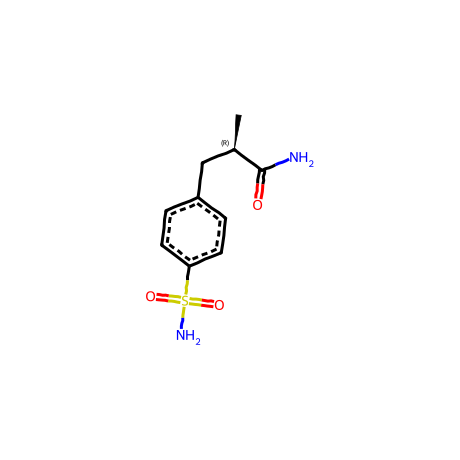 C[C@H](Cc1ccc(S(N)(=O)=O)cc1)C(N)=O